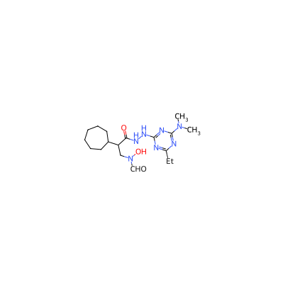 CCc1nc(NNC(=O)C(CN(O)C=O)C2CCCCCC2)nc(N(C)C)n1